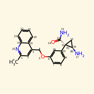 Cc1cc(COc2cccc([C@@]3(C(N)=O)C[C@H]3N)c2)c2ccccc2n1